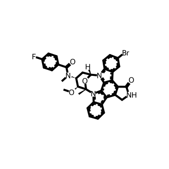 CO[C@@H]1[C@H](N(C)C(=O)c2ccc(F)cc2)C[C@H]2O[C@]1(C)n1c3ccccc3c3c4c(c5c6cc(Br)ccc6n2c5c31)C(=O)NC4